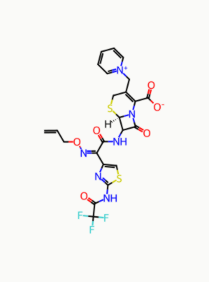 C=CCO/N=C(\C(=O)NC1C(=O)N2C(C(=O)[O-])=C(C[n+]3ccccc3)CS[C@H]12)c1csc(NC(=O)C(F)(F)F)n1